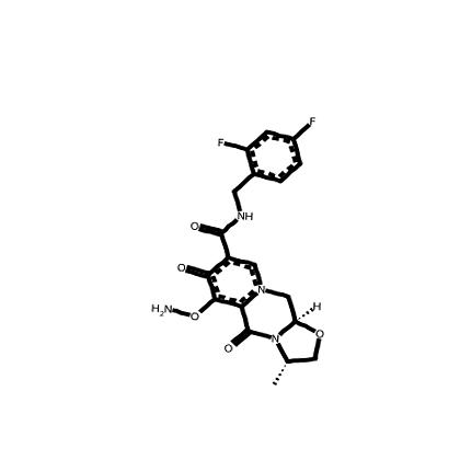 C[C@H]1CO[C@@H]2Cn3cc(C(=O)NCc4ccc(F)cc4F)c(=O)c(ON)c3C(=O)N12